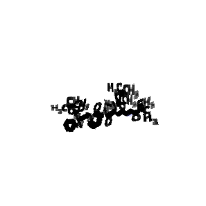 CN(C)C(=O)/C=C/CC[C@H](NC(=O)OC(C)(C)C)C(=O)Nc1cccn(Cc2nc3ccccc3n2C(=O)OC(C)(C)C)c1=O